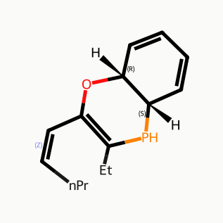 CCC/C=C\C1=C(CC)P[C@H]2C=CC=C[C@H]2O1